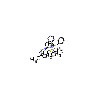 C=C(C)\C=C/C=C(C)/C(=C(/Cc1ccccc1)c1ccccc1)S(C)(C)C